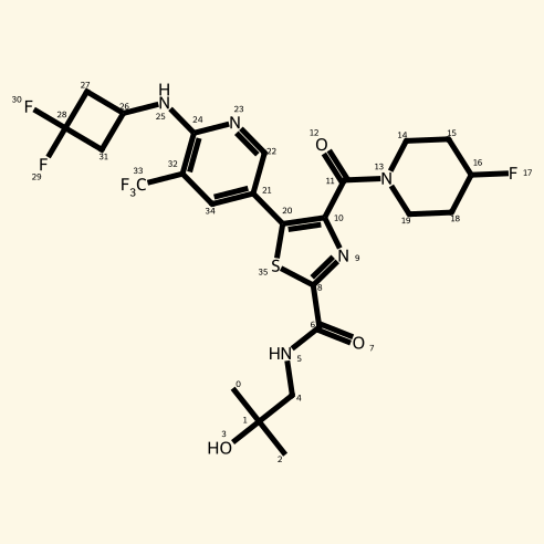 CC(C)(O)CNC(=O)c1nc(C(=O)N2CCC(F)CC2)c(-c2cnc(NC3CC(F)(F)C3)c(C(F)(F)F)c2)s1